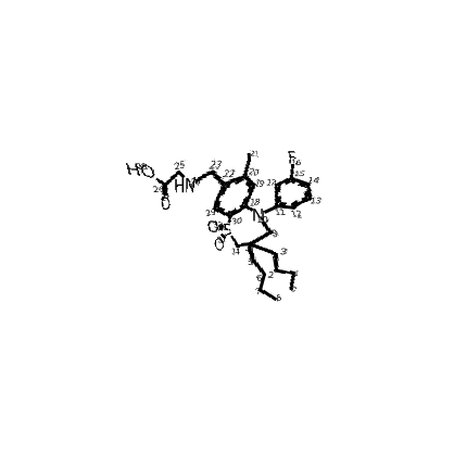 CCCCC1(CCCC)CN(c2cccc(F)c2)c2cc(C)c(CNCC(=O)O)cc2S(=O)(=O)C1